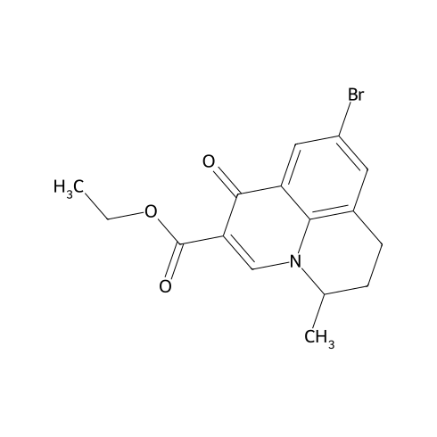 CCOC(=O)c1cn2c3c(cc(Br)cc3c1=O)CCC2C